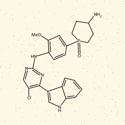 COc1cc(P2(=O)CCC(N)CC2)ccc1Nc1ncc(Cl)c(-c2c[nH]c3ccccc23)n1